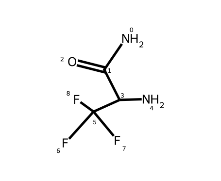 NC(=O)C(N)C(F)(F)F